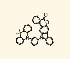 CC1(C)c2ccccc2N(c2cccc(-n3c4ccccc4c4cc5oc(=O)c6ccccc6c5cc43)c2)c2ccccc21